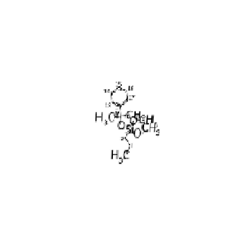 CCC[Si](OC)(OC)OC(C)(C)c1ccccc1